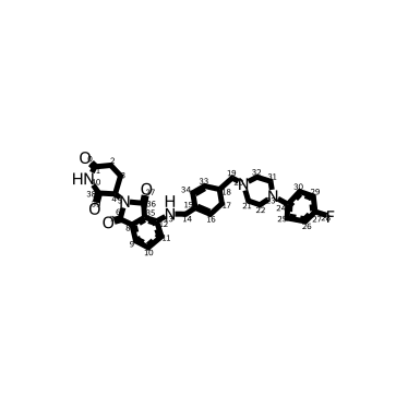 O=C1CCC(N2C(=O)c3cccc(NCC4=CCC(CN5CCN(c6ccc(F)cc6)CC5)C=C4)c3C2=O)C(=O)N1